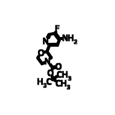 CC(C)(C)OC(=O)N1CCOC(c2cc(N)c(F)cn2)C1